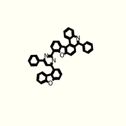 c1ccc(-c2cc(-c3cccc4oc5ccccc5c34)nc(-c3cccc4c3oc3ccc5c(-c6ccccc6)nc6ccccc6c5c34)n2)cc1